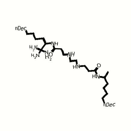 CCCCCCCCCCCCCCC(C)NC(=O)CCNCCNCCC(=O)NC(CCCCCCCCCCCCCC)C(N)(N)N